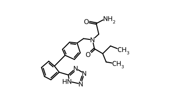 CCC(CC)C(=O)N(CC(N)=O)Cc1ccc(-c2ccccc2-c2nnn[nH]2)cc1